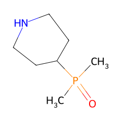 CP(C)(=O)C1CCNCC1